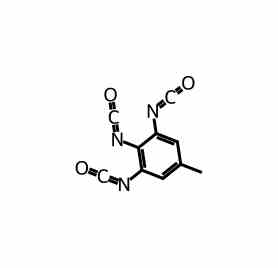 Cc1cc(N=C=O)c(N=C=O)c(N=C=O)c1